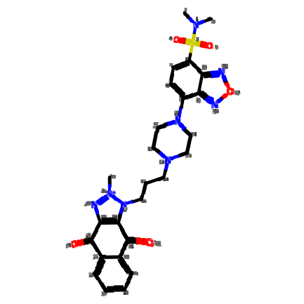 CN(C)S(=O)(=O)c1ccc(N2CCN(CCCn3c4c(n[n+]3C)C(=O)c3ccccc3C4=O)CC2)c2nonc12